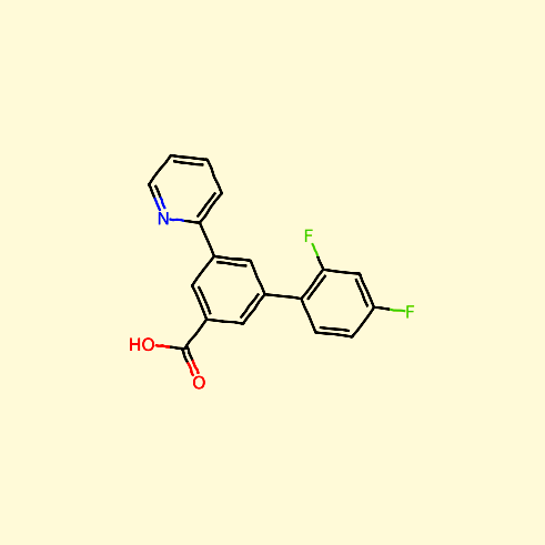 O=C(O)c1cc(-c2ccccn2)cc(-c2ccc(F)cc2F)c1